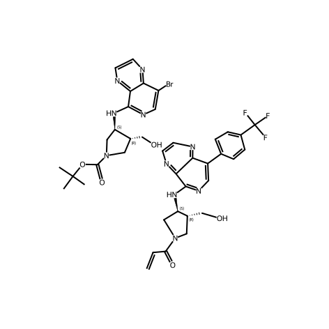 C=CC(=O)N1C[C@@H](CO)[C@H](Nc2ncc(-c3ccc(C(F)(F)F)cc3)c3nccnc23)C1.CC(C)(C)OC(=O)N1C[C@@H](CO)[C@H](Nc2ncc(Br)c3nccnc23)C1